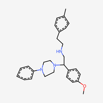 COc1ccc(C(CNCCc2ccc(C)cc2)N2CCN(c3ccccc3)CC2)cc1